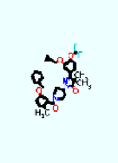 Cc1ccc(OCc2ccccc2)cc1C(=O)N1CCC(N2N=C(c3ccc(OC(F)F)c(OCC4CC4)c3)C(C)(C)C2=O)CC1